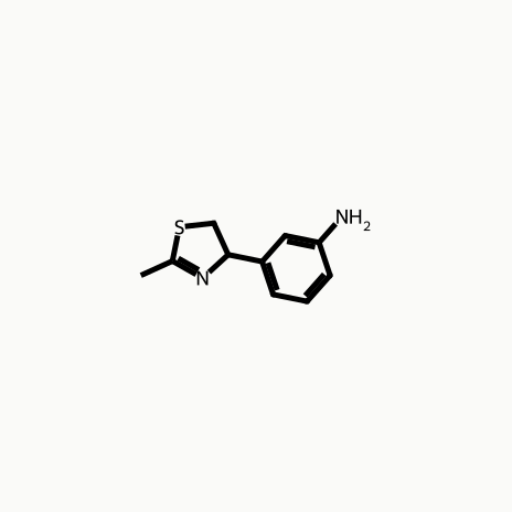 CC1=NC(c2cccc(N)c2)CS1